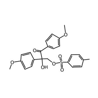 COc1ccc(C(=O)C(O)(COS(=O)(=O)c2ccc(C)cc2)c2ccc(OC)cc2)cc1